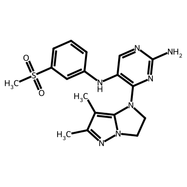 Cc1nn2c(c1C)N(c1nc(N)ncc1Nc1cccc(S(C)(=O)=O)c1)CC2